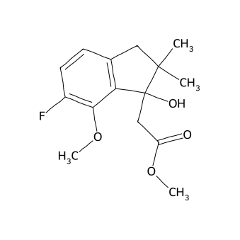 COC(=O)CC1(O)c2c(ccc(F)c2OC)CC1(C)C